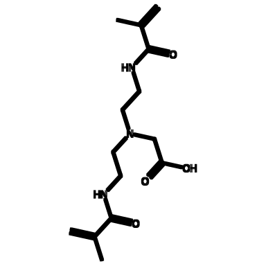 C=C(C)C(=O)NCCN(CCNC(=O)C(=C)C)CC(=O)O